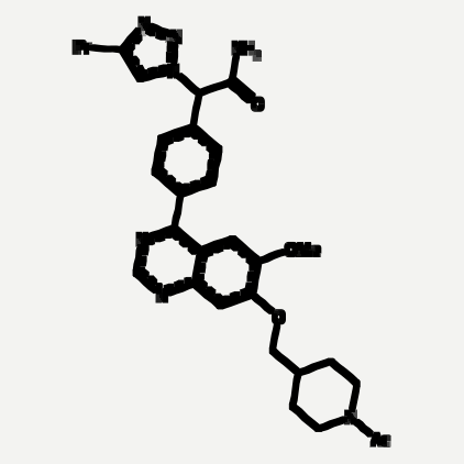 COc1cc2c(-c3ccc(C(C(N)=O)n4cc(C(C)C)nn4)cc3)ncnc2cc1OCC1CCN(C(C)=O)CC1